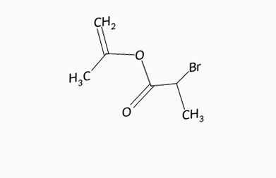 C=C(C)OC(=O)C(C)Br